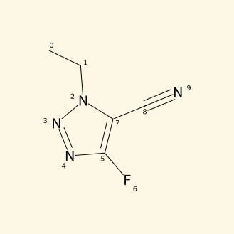 CCn1nnc(F)c1C#N